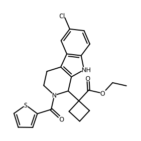 CCOC(=O)C1(C2c3[nH]c4ccc(Cl)cc4c3CCN2C(=O)c2cccs2)CCC1